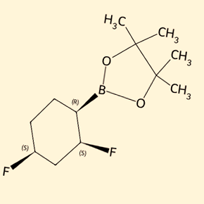 CC1(C)OB([C@@H]2CC[C@H](F)C[C@@H]2F)OC1(C)C